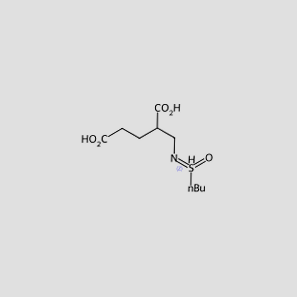 CCCC/[SH](=O)=N/CC(CCC(=O)O)C(=O)O